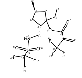 C=C(C(=O)OC1(CC)C[C@H](C)C[C@H]1CNS(=O)(=O)C(F)(F)F)C(F)(F)F